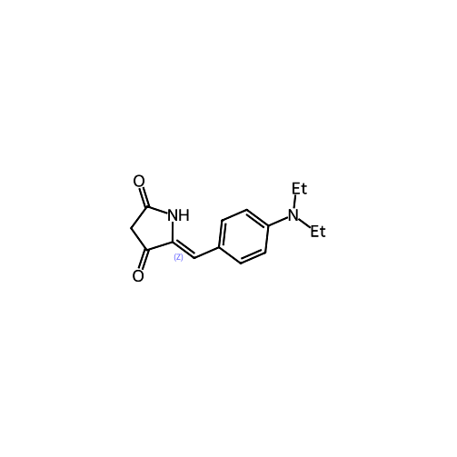 CCN(CC)c1ccc(/C=C2\NC(=O)CC2=O)cc1